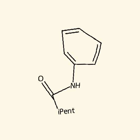 CCCC(C)C(=O)Nc1ccccc1